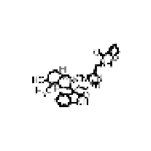 C[C@@H]1[C@H]2C[C@@H]([C@@]3(CCn4cc(CNC(=O)c5ccco5)nn4)C(=O)Nc4ccccc43)N(C#N)C[C@@H]2CC[C@@H]1O